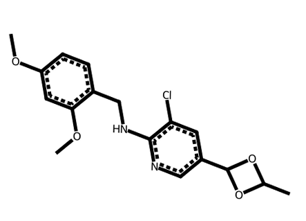 COc1ccc(CNc2ncc(C3OC(C)O3)cc2Cl)c(OC)c1